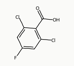 O=C(O)c1c(Cl)cc(F)cc1Cl